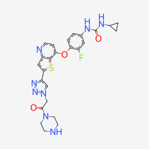 O=C(Nc1ccc(Oc2ccnc3cc(-c4cn(CC(=O)N5CCNCC5)nn4)sc23)c(F)c1)NC1CC1